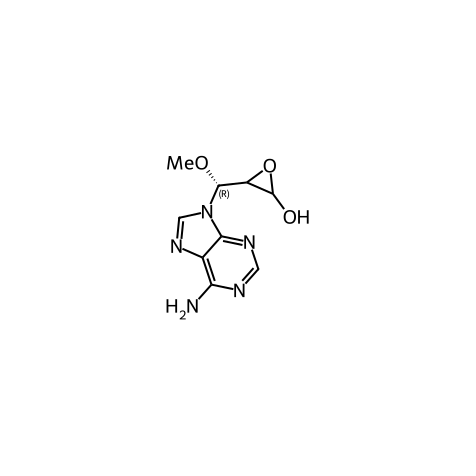 CO[C@H](C1OC1O)n1cnc2c(N)ncnc21